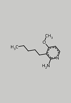 CCCCCc1c(OC)ccnc1N